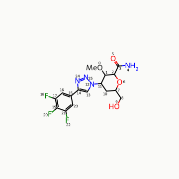 COC1C(C(N)=O)OC(CO)CC1n1cc(-c2cc(F)c(F)c(F)c2)nn1